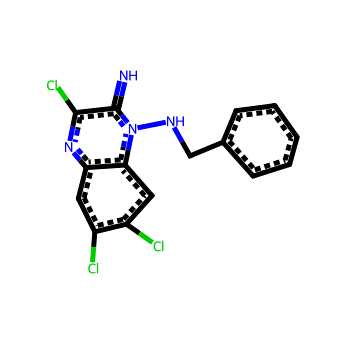 N=c1c(Cl)nc2cc(Cl)c(Cl)cc2n1NCc1ccccc1